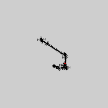 CC(=O)NC1C(O)CC(OCCCSCCNC(=O)c2ccc(C)c(OCCOCCOCCOCCOCCOCCNC(=O)CCCCC3SCC4NC(=O)NC43)c2)(C(=O)O)OC1[C@H](O)[C@@H](O)CNC(=O)c1ccc(-c2ccccc2)cc1